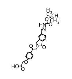 CC(C)(C)OC(=O)NN=Cc1ccc2c(c1)CN(CC(=O)c1ccc(OCC(=O)O)cc1)C2=O